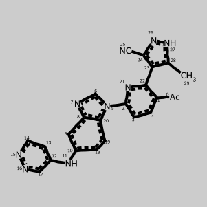 CC(=O)c1ccc(-n2cnc3cc(Nc4ccnnc4)ccc32)nc1-c1c(C#N)n[nH]c1C